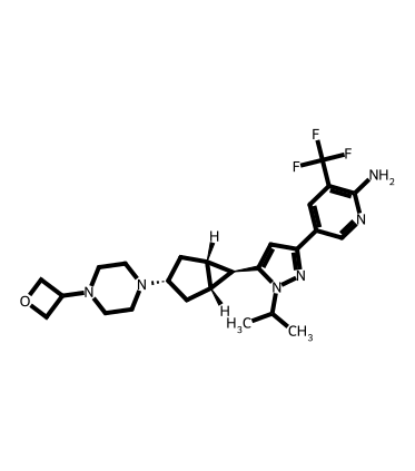 CC(C)n1nc(-c2cnc(N)c(C(F)(F)F)c2)cc1[C@H]1[C@@H]2C[C@H](N3CCN(C4COC4)CC3)C[C@@H]21